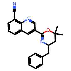 CC1(C)CC(Cc2ccccc2)N=C(c2cnc3c(C#N)cccc3c2)O1